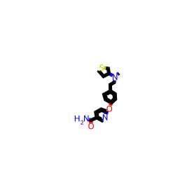 CN(CCc1ccc(Oc2ccc(C(N)=O)cn2)cc1)C1CCSC1